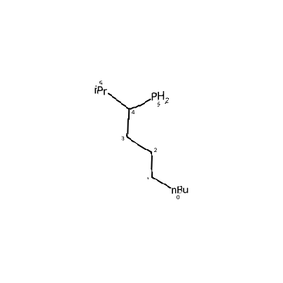 CCCCCCCC(P)C(C)C